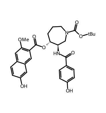 COc1cc2ccc(O)cc2cc1C(=O)O[C@@H]1CCCN(C(=O)OC(C)(C)C)C[C@H]1NC(=O)c1ccc(O)cc1